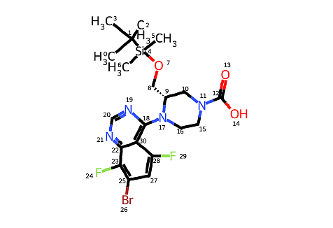 CC(C)(C)[Si](C)(C)OC[C@@H]1CN(C(=O)O)CCN1c1ncnc2c(F)c(Br)cc(F)c12